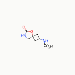 O=C(O)NC1CC2(CNC(=O)O2)C1